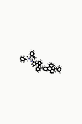 C=N/C(=N\C(=N/Cc1ccccc1)c1ccccc1)c1cccc(-c2cccc3c2c2ccccc2n3-c2ccc(-c3cccc(N(C)c4ccccc4)c3-c3ccccc3)cc2)c1